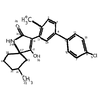 Cc1ccc(-c2ccc(Cl)cc2)cc1C1=C(O)C2(CCCC(C)C2)NC1=O